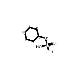 O=P(O)(O)OC1CC[N]CC1